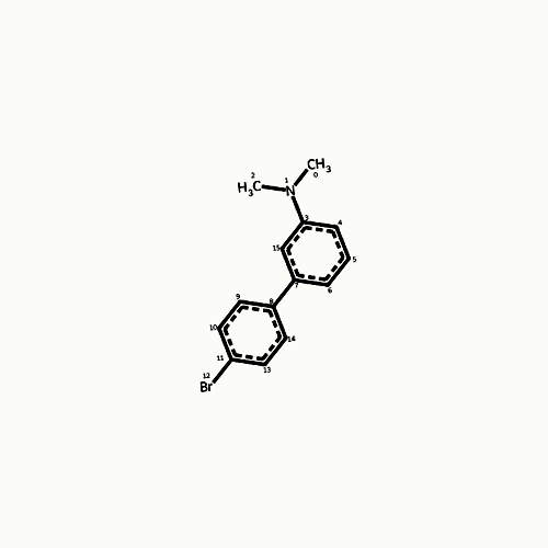 CN(C)c1cccc(-c2ccc(Br)cc2)c1